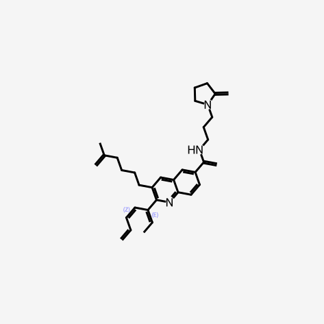 C=C/C=C\C(=C/C)c1nc2ccc(C(=C)NCCCN3CCCC3=C)cc2cc1CCCCC(=C)C